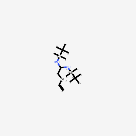 C=C[SiH2]CC(N[Si](C)(C)C(C)(C)C)N[Si](C)(C)C(C)(C)C